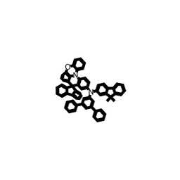 CC1(C)c2ccccc2-c2ccc(N(c3cc(-c4ccccc4)cc(-c4ccccc4)c3)c3ccc4c(c3)C3(c5ccccc5-c5ccccc53)c3cccc5c3N4c3ccccc3O5)cc21